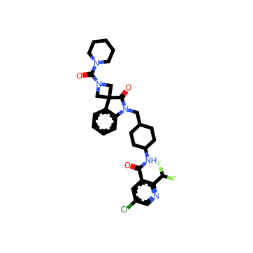 O=C(NC1CCC(CN2C(=O)C3(CN(C(=O)N4CCCCC4)C3)c3ccccc32)CC1)c1cc(Cl)cnc1C(F)F